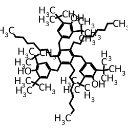 CCCCCCCCc1c(Cc2cc(C(C)(C)C)c(O)c(C(C)(C)C)c2)c(CCCCCCCC)c(Cc2cc(C(C)(C)C)c(O)c(C(C)(C)C)c2)c(CCCCCCCC)c1Cc1cc(C(C)(C)C)c(O)c(C(C)(C)C)c1